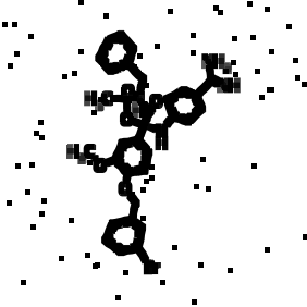 COc1cc([C@](Nc2ccc(C(=N)N)cc2)(OC(C)=O)C(=O)NCc2ccccc2)ccc1OCc1cccc(Br)c1